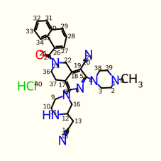 CN1CCN(c2nc(N3CCNC(CC#N)C3)c3c(c2C#N)CN(C(=O)c2cccc4ccccc24)CC3)CC1.Cl